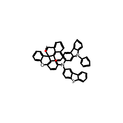 c1ccc(-n2c3ccccc3c3ccc(N(c4ccc5c(c4)C4(c6ccccc6O5)c5ccccc5-c5cccc6cccc4c56)c4ccc5sc6ccccc6c5c4)cc32)cc1